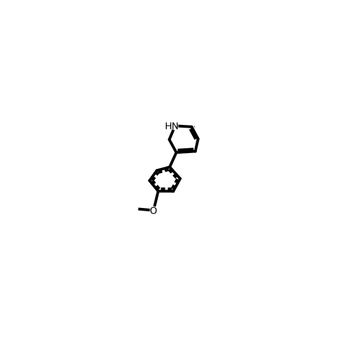 COc1ccc(C2=CC=[C]NC2)cc1